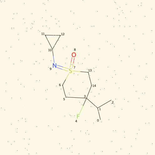 CC(C)C1(F)CCS(=O)(=NC2CC2)CC1